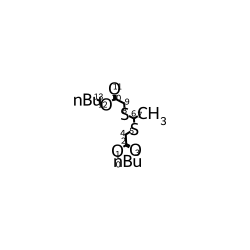 CCCCOC(=O)CSC(C)SCC(=O)OCCCC